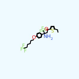 CCc1ccc(C(=O)C[C@](N)(c2ccc(OCCCCCC(F)(F)F)cc2)C(F)(F)F)s1